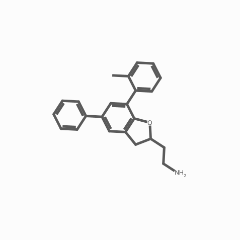 Cc1ccccc1-c1cc(-c2ccccc2)cc2c1OC(CCN)C2